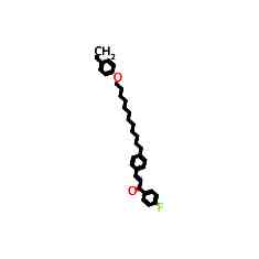 C=Cc1ccc(OCCCCCCCCCCCCc2ccc(/C=C/C(=O)c3ccc(F)cc3)cc2)cc1